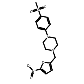 CS(=O)(=O)c1ccc(N2CCN(Cc3ccc([N+](=O)[O-])o3)CC2)cc1